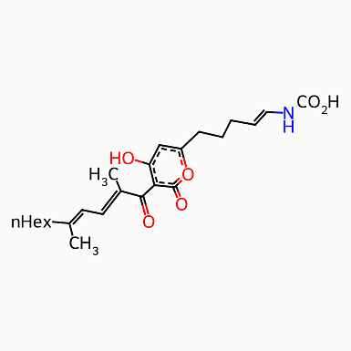 CCCCCC/C(C)=C/C=C(\C)C(=O)c1c(O)cc(CCC/C=C/NC(=O)O)oc1=O